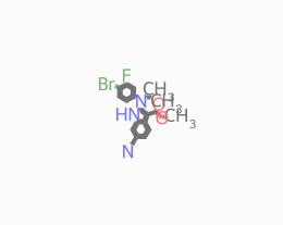 COC(=O)c1c(N(c2ccc(Br)c(F)c2)C(C)C)[nH]c2cc(C#N)ccc12